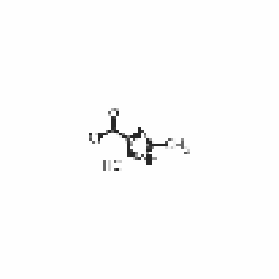 Cc1nc(C(=O)Cl)c[nH]1.Cl